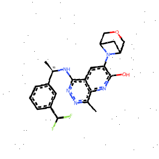 Cc1nnc(N[C@H](C)c2cccc(C(F)F)c2)c2cc(N3C4COCC3C4)c(O)nc12